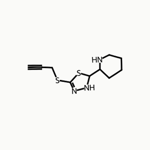 C#CCSC1=NNC(C2CCCCN2)S1